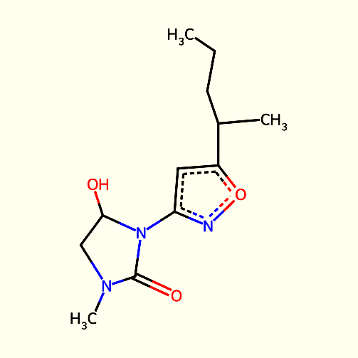 CCCC(C)c1cc(N2C(=O)N(C)CC2O)no1